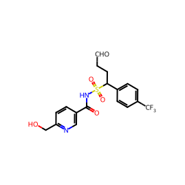 O=CCCC(c1ccc(C(F)(F)F)cc1)S(=O)(=O)NC(=O)c1ccc(CO)nc1